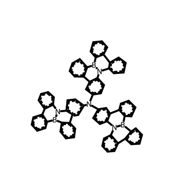 c1ccc2c(c1)B1c3ccccc3-c3cc(N(c4ccc5c(c4)-c4ccccc4B4c6ccccc6-c6ccccc6N45)c4ccc5c(c4)-c4ccccc4B4c6ccccc6-c6ccccc6N45)ccc3N1c1ccccc1-2